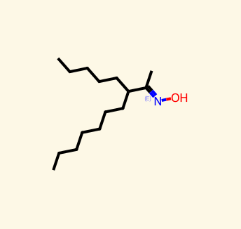 CCCCCCCC(CCCCC)/C(C)=N/O